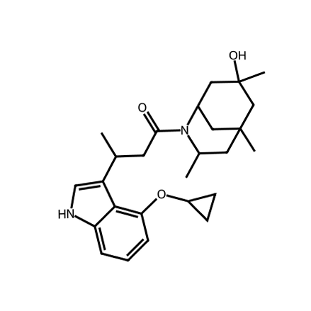 CC(CC(=O)N1C(C)CC2(C)CC1CC(C)(O)C2)c1c[nH]c2cccc(OC3CC3)c12